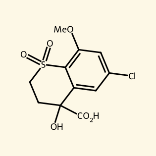 COc1cc(Cl)cc2c1S(=O)(=O)CCC2(O)C(=O)O